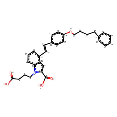 O=C(O)CCCn1c(C(=O)O)cc2c(C=Cc3ccc(OCCCCc4ccccc4)cc3)cccc21